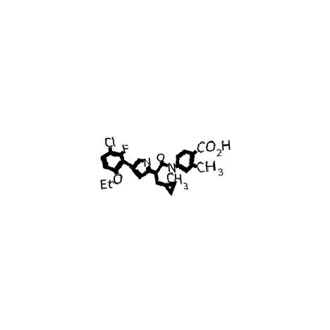 CCOc1ccc(Cl)c(F)c1-c1ccc(C(CC2CC2)C(=O)N(C)c2ccc(C(=O)O)c(C)c2)nc1